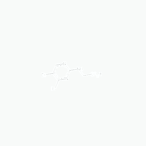 CCc1cnc(NCC(=O)O)nc1C(C)C